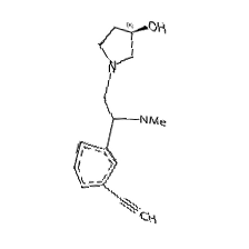 C#Cc1cccc(C(CN2CC[C@@H](O)C2)NC)c1